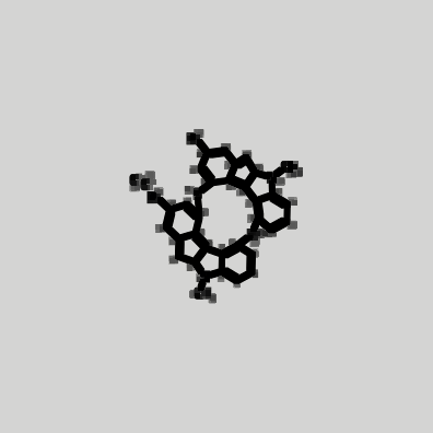 CN1c2ccc[c]3c2C2=c4c(cc(Br)cc4=CC21)Sc1cc(Br)cc2c1=C1c4[c](cccc4N(C)C1C=2)[Zr+2]3.[Cl-].[Cl-]